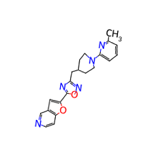 Cc1cccc(N2CCC(Cc3noc(-c4cc5cnccc5o4)n3)CC2)n1